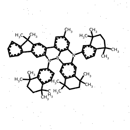 Cc1cc2c3c(c1)N(c1ccc4c(c1)C(C)(C)CCC4(C)C)c1cc4c(cc1B3N(c1ccc3c(c1)C(C)(C)CCC3(C)C)c1cc3c(cc1-2)C(C)(C)c1ccccc1-3)C(C)(C)CCC4(C)C